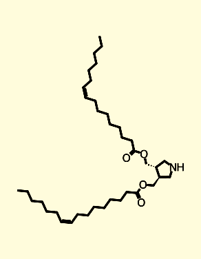 CCCCCC/C=C\CCCCCCCC(=O)OC[C@@H]1CNC[C@H]1COC(=O)CCCCCCC/C=C\CCCCCC